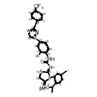 COC(C)c1ccc(C)cc1N1C(=O)CSC1=NC(=O)Nc1ccc(-n2cnc(-c3ccc(C(F)(F)F)cc3)n2)cc1F